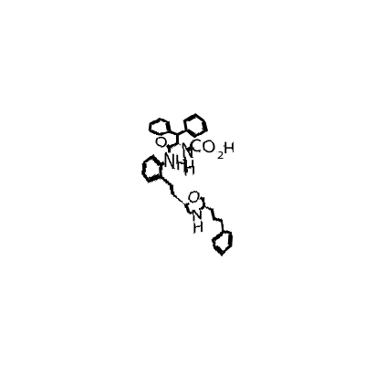 O=C(O)N[C@H](C(=O)Nc1ccccc1CC[C@@H]1CN[C@H](CCCc2ccccc2)CO1)C(c1ccccc1)c1ccccc1